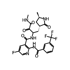 CNC(=O)C(=O)C(C[C@@H]1C[C@@H](C)NC1=O)NC(=O)c1cc(F)cnc1NC(=O)c1cccc(C(F)(F)F)c1